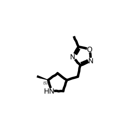 Cc1nc(CC2CN[C@@H](C)C2)no1